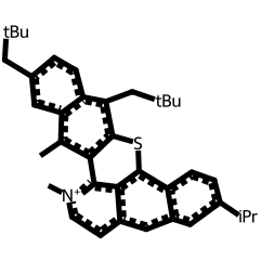 Cc1c2c(c(CC(C)(C)C)c3ccc(CC(C)(C)C)cc13)Sc1c3ccc(C(C)C)cc3cc3cc[n+](C)c-2c13